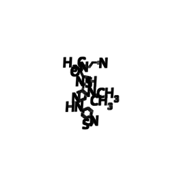 CC(C)Nc1cc(Nc2ccc3ncsc3c2)ncc1-c1nc(C(=O)N(C)CCC#N)cs1